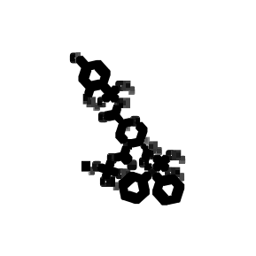 CC(C)(C)OC(=O)N1C[C@@H](C(=O)NC(C)(C)c2ccc(Cl)cc2F)OC[C@@H]1CO[Si](c1ccccc1)(c1ccccc1)C(C)(C)C